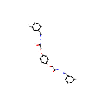 CC(=O)c1cccc(/C=N/NC(=O)COc2ccc(OCC(=O)N/N=C/c3cccc(C(C)=O)c3)cc2)c1